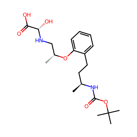 C[C@H](CN[C@@H](O)C(=O)O)Oc1ccccc1CC[C@H](C)NC(=O)OC(C)(C)C